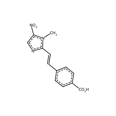 Cn1c([N+](=O)[O-])cnc1C=Cc1ccc(C(=O)O)cc1